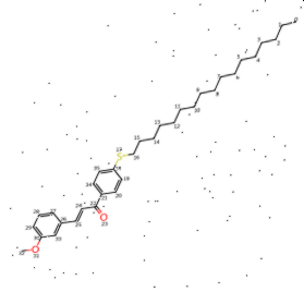 CCCCCCCCCCCCCCCCCSc1ccc(C(=O)/C=C/c2cccc(OC)c2)cc1